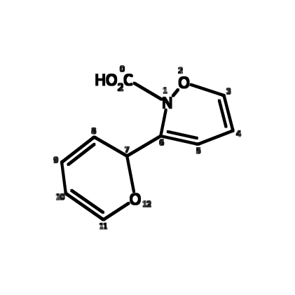 O=C(O)N1OC=CC=C1C1C=CC=CO1